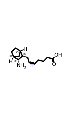 N[C@@H]1[C@@H]2CC[C@@H](C2)[C@H]1C/C=C\CCCC(=O)O